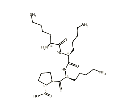 NCCCC[C@H](NC(=O)[C@@H](N)CCCCN)C(=O)N[C@@H](CCCCN)C(=O)N1CCC[C@H]1C(=O)O